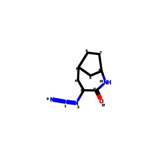 [N-]=[N+]=NC1CC2CCC(C2)NC1=O